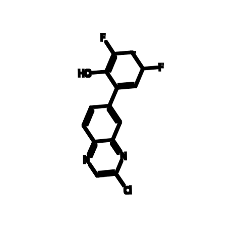 OC1=C(F)[CH]C(F)C=C1c1ccc2ncc(Cl)nc2c1